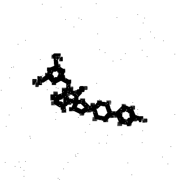 O=C(NCc1cc(C(F)(F)F)cc(C(F)(F)F)c1)C1(c2nc[nH]n2)CCC(N2CCC(c3ccc(F)cc3)CC2)C1